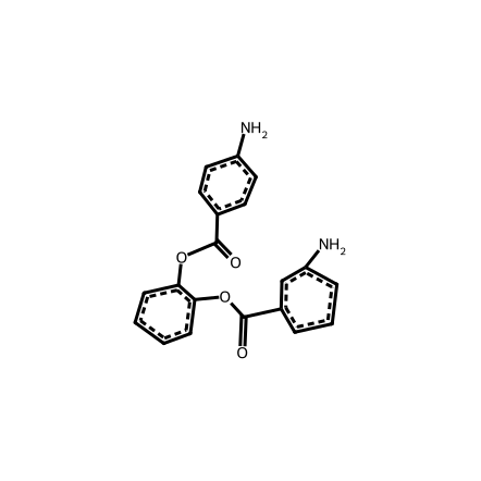 Nc1ccc(C(=O)Oc2ccccc2OC(=O)c2cccc(N)c2)cc1